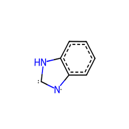 [C]1[N]c2ccccc2N1